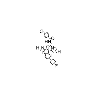 Nc1nc(C2CNCCN2C(=O)CNC(=O)c2ccc(Cl)cc2)c2nc(-c3ccc(F)cc3)ccc2n1